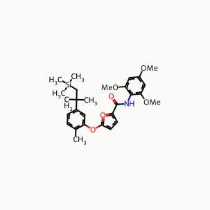 COc1cc(OC)c(NC(=O)c2ccc(Oc3cc(C(C)(C)C[Si](C)(C)C)ccc3C)o2)c(OC)c1